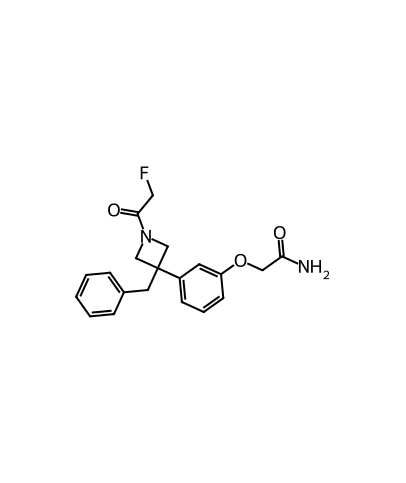 NC(=O)COc1cccc(C2(Cc3ccccc3)CN(C(=O)CF)C2)c1